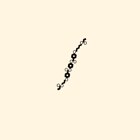 C=CC(=O)OCCCCCOc1ccc(C(=O)Oc2ccc(OC(=O)c3ccc(OCCCOC(=O)C=C)cc3)cc2)cc1